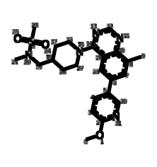 COc1ccc(-c2cc(C)c3ncnc(N4CCC(CN(C)S(C)(=O)=O)CC4)c3c2)cn1